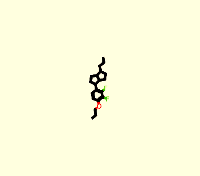 CCCOc1ccc(C2CCC3C(CCC)CCC23)c(F)c1F